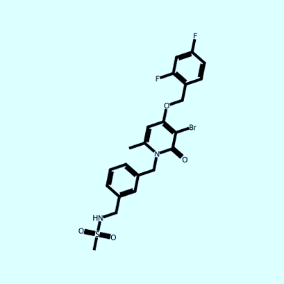 Cc1cc(OCc2ccc(F)cc2F)c(Br)c(=O)n1Cc1cccc(CNS(C)(=O)=O)c1